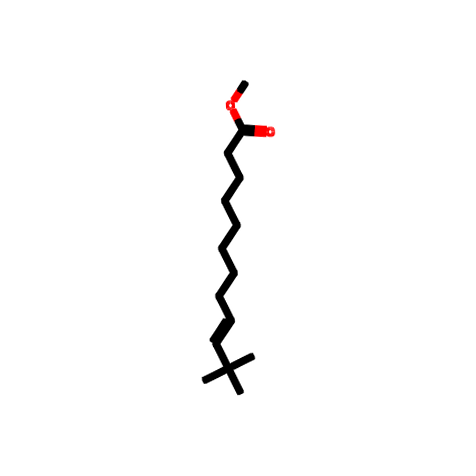 COC(=O)CCCCCCC/C=C/C(C)(C)C